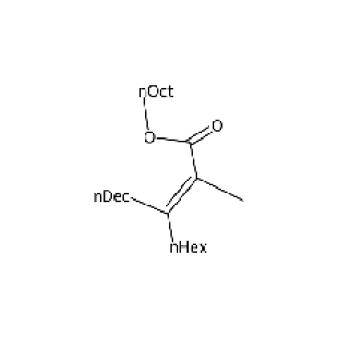 CCCCCCCCCCC(CCCCCC)=C(C)C(=O)OCCCCCCCC